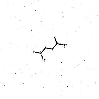 [CH2]C(C)C(C)CCC(CC)CC